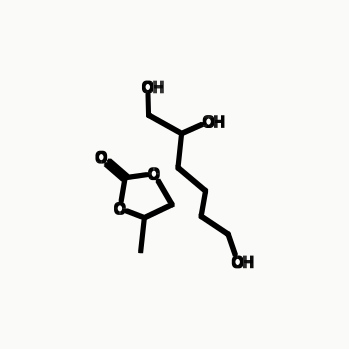 CC1COC(=O)O1.OCCCCC(O)CO